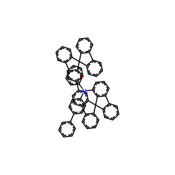 c1ccc(-c2ccc(N(c3ccc4c(c3)C3(c5ccccc5-c5ccccc53)c3ccccc3-4)c3cccc4c3C3(c5ccccc5-c5ccc(-c6ccccc6)cc53)c3ccccc3-4)cc2)cc1